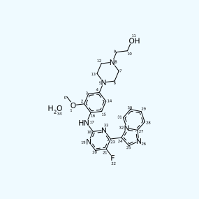 COc1cc(N2CCN(CCO)CC2)ccc1Nc1ncc(F)c(-c2cnc3ccccn23)n1.O